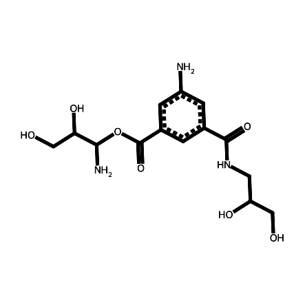 Nc1cc(C(=O)NCC(O)CO)cc(C(=O)OC(N)C(O)CO)c1